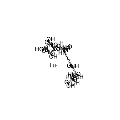 O=C(O)CC[C@H](NC(=O)N[C@@H](CCCCNC(=O)CCCCCCCNc1nc(Nc2ccc(CC3CN(CC(=O)O)CCN(CC(=O)O)CCN(CC(=O)O)CCN3CC(=O)O)cc2)nc(N2CCCCC2)n1)C(=O)O)C(=O)O.[Lu]